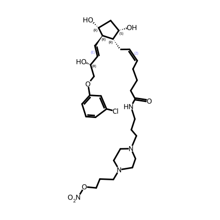 O=C(CCC/C=C\C[C@@H]1[C@@H](/C=C/[C@@H](O)COc2cccc(Cl)c2)[C@H](O)C[C@@H]1O)NCCCN1CCN(CCCO[N+](=O)[O-])CC1